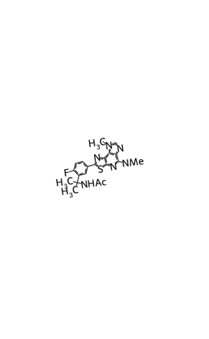 CNc1nc2sc(-c3ccc(F)c(C(C)(C)NC(C)=O)c3)nc2c2c1ncn2C